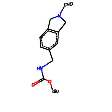 CC(C)(C)OC(=O)NCc1ccc2c(c1)CN(C=O)C2